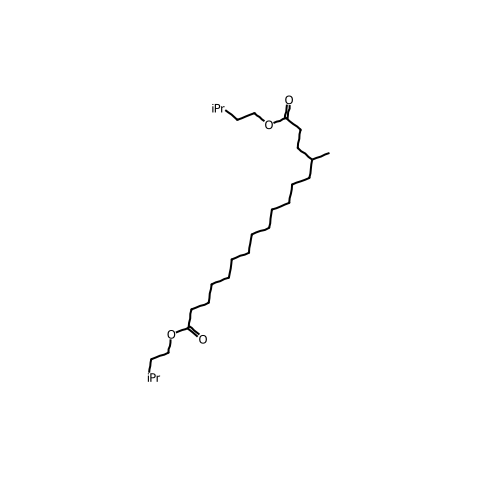 CC(C)CCOC(=O)CCCCCCCCCCCCC(C)CCC(=O)OCCC(C)C